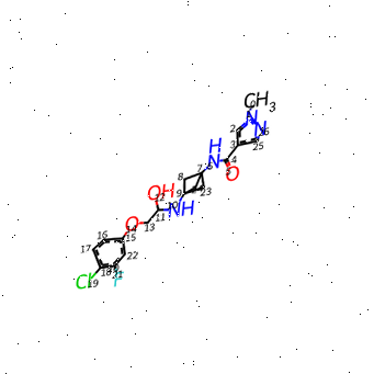 Cn1cc(C(=O)NC23CC(NC(O)COc4ccc(Cl)c(F)c4)(C2)C3)cn1